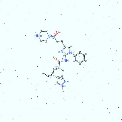 C/C=C(\C=C(/C)C(=O)Nc1nc(CCC(=O)N2CCNCC2)cn1-c1ccccc1)c1cnn(C)c1